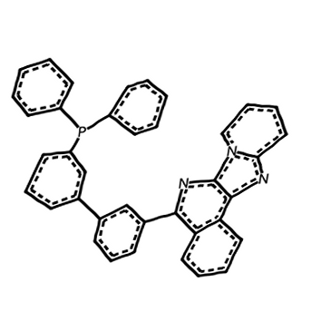 c1ccc(P(c2ccccc2)c2cccc(-c3cccc(-c4nc5c(nc6ccccn65)c5ccccc45)c3)c2)cc1